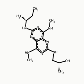 CC[C@H](C)Nc1nc(NC)c2nc(NC[C@@H](C)O)nc(NC)c2n1